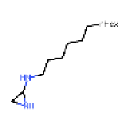 CCCCCCCCCCCCNC1CN1